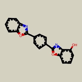 Oc1cccc2oc(-c3ccc(-c4nc5ccccc5o4)cc3)nc12